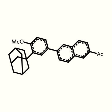 COc1ccc(-c2ccc3cc(C(C)=O)ccc3c2)cc1C12CC3CC(CC(C3)C1)C2